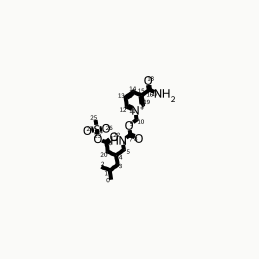 CC(C)CC(CNC(=O)OC[n+]1cccc(C(N)=O)c1)CC(=O)OS(C)(=O)=O